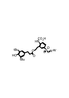 CC(C)(C)c1cc(CCC(=O)OCCc2cc(S(=O)(=O)N=[N+]=[N-])ccc2NC(=O)O)cc(C(C)(C)C)c1O